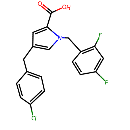 O=C(O)c1cc(Cc2ccc(Cl)cc2)cn1Cc1ccc(F)cc1F